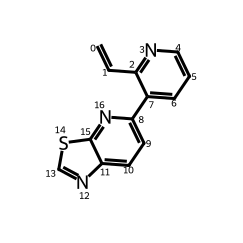 C=Cc1ncccc1-c1ccc2ncsc2n1